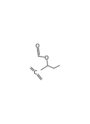 C=C=C.CCC(C)OC=O